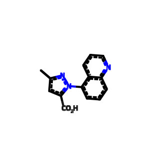 Cc1cc(C(=O)O)n(-c2cccc3ncccc23)n1